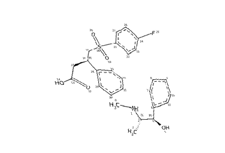 CN[C@@H](C)[C@H](O)c1ccccc1.O=C(O)C[C@@H](CS(=O)(=O)c1ccc(F)cc1)c1ccccc1